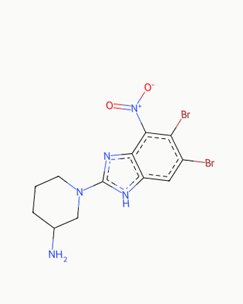 NC1CCCN(c2nc3c([N+](=O)[O-])c(Br)c(Br)cc3[nH]2)C1